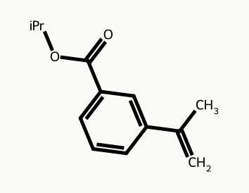 C=C(C)c1cccc(C(=O)OC(C)C)c1